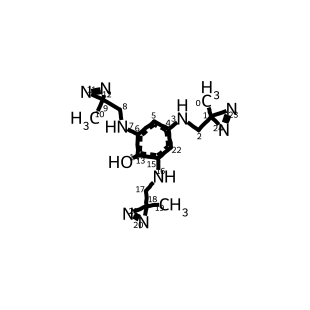 CC1(CNc2cc(NCC3(C)N=N3)c(O)c(NCC3(C)N=N3)c2)N=N1